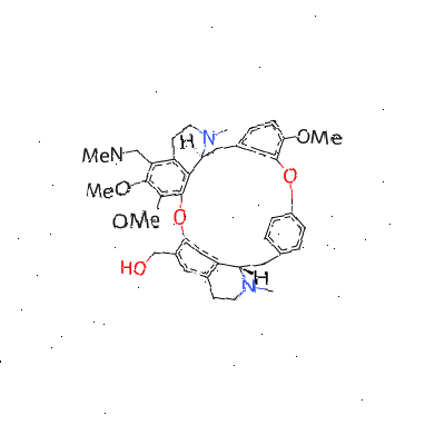 CNCc1c2c3c(c(OC)c1OC)Oc1cc4c(cc1CO)CCN(C)[C@H]4Cc1ccc(cc1)Oc1cc(ccc1OC)C[C@@H]3N(C)CC2